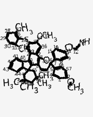 COc1ccc(C2(c3ccc(OC=N)cc3)C=Cc3c4c(c5cc(Sc6c(C)cccc6C)c(OC)cc5c3O2)-c2ccccc2C42CC(C)(C)CC(C)(C)C2)cc1